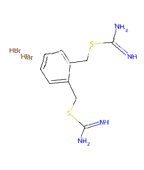 Br.Br.N=C(N)SCc1ccccc1CSC(=N)N